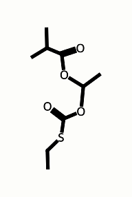 CCSC(=O)OC(C)OC(=O)C(C)C